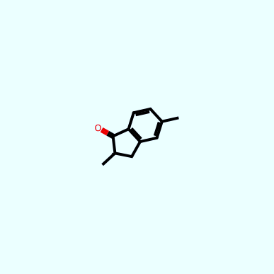 C[C]1Cc2cc(C)ccc2C1=O